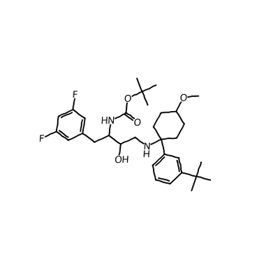 COC1CCC(NCC(O)C(Cc2cc(F)cc(F)c2)NC(=O)OC(C)(C)C)(c2cccc(C(C)(C)C)c2)CC1